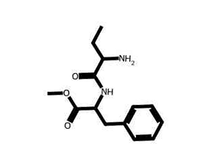 CCC(N)C(=O)NC(Cc1ccccc1)C(=O)OC